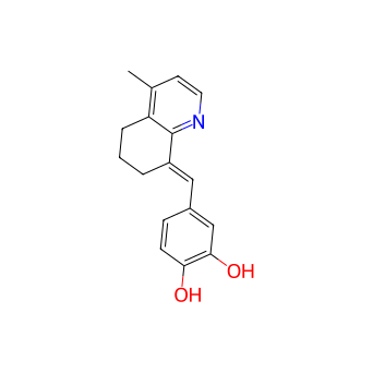 Cc1ccnc2c1CCCC2=Cc1ccc(O)c(O)c1